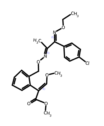 CCO/N=C(/C(C)=N/OCc1ccccc1/C(=C\OC)C(=O)OC)c1ccc(Cl)cc1